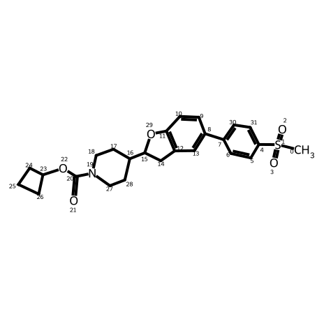 CS(=O)(=O)c1ccc(-c2ccc3c(c2)CC(C2CCN(C(=O)OC4CCC4)CC2)O3)cc1